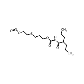 CCCC(CCC)C(=O)NC(=O)OCCSSCCON=O